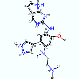 COc1cc(N(C)CCN(C)C)c(-c2cnn(C)c2)cc1Nc1ncc2cc[nH]c2n1